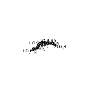 Cc1cc(/N=N/c2cc(S(=O)(=O)O)c3cc(S(=O)(=O)O)c(/N=N/c4ccc(NC(=O)CCC(=O)O)cc4[N+](=O)[O-])c(O)c3c2N)ccc1/N=N/c1ccc(NC(=O)CCC(=O)O)cc1[N+](=O)[O-]